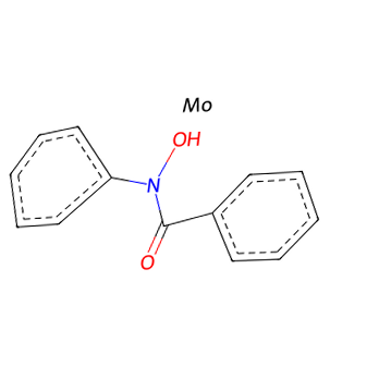 O=C(c1ccccc1)N(O)c1ccccc1.[Mo]